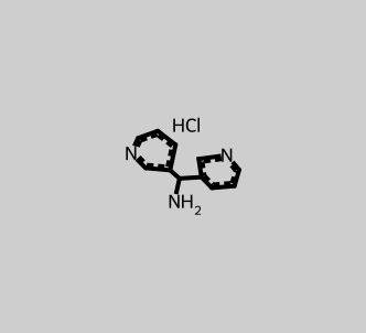 Cl.NC(c1cccnc1)c1cccnc1